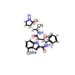 COc1cccc2c1cc(C(N)=O)n2[C@H](C(=O)N[C@H](C#N)C[C@@H]1CCNC1=O)[C@@H]1Cc2ccccc2O1